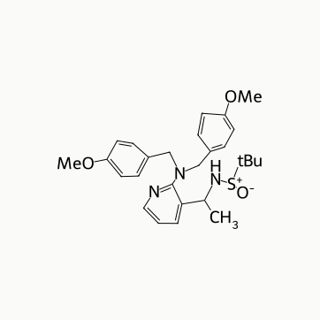 COc1ccc(CN(Cc2ccc(OC)cc2)c2ncccc2C(C)N[S+]([O-])C(C)(C)C)cc1